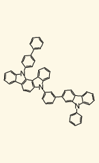 c1ccc(-c2ccc(-n3c4ccccc4c4ccc5c(c6ccccc6n5-c5cccc(-c6ccc7c8ccccc8n(-c8ccccc8)c7c6)c5)c43)cc2)cc1